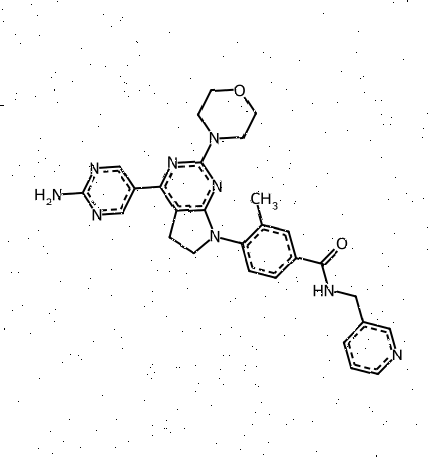 Cc1cc(C(=O)NCc2cccnc2)ccc1N1CCc2c(-c3cnc(N)nc3)nc(N3CCOCC3)nc21